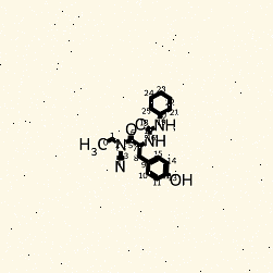 CCN(C#N)C(=O)C(Cc1ccc(O)cc1)NC(=O)NC1CCCCC1